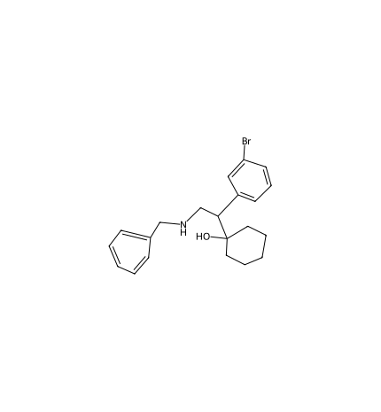 OC1(C(CNCc2ccccc2)c2cccc(Br)c2)CCCCC1